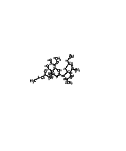 CCOC(=O)NNC[C@@H](OC(OC=O)C(C=O)OC)OC1CC(CO)O[C@@H](C)[C@H]1NC(C)=O